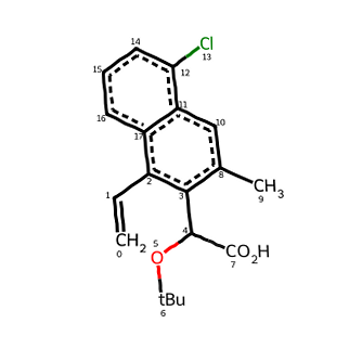 C=Cc1c(C(OC(C)(C)C)C(=O)O)c(C)cc2c(Cl)cccc12